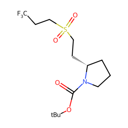 CC(C)(C)OC(=O)N1CCC[C@H]1CCS(=O)(=O)CCC(F)(F)F